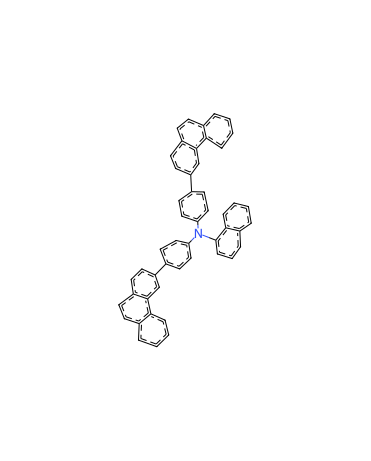 c1ccc2c(N(c3ccc(-c4ccc5ccc6ccccc6c5c4)cc3)c3ccc(-c4ccc5ccc6ccccc6c5c4)cc3)cccc2c1